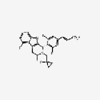 CC1Cc2c([nH]c3cccc(F)c23)[C@H](c2c(F)cc(/C=C/C(=O)O)cc2F)N1CC1(F)CC1